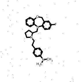 CN(C)c1ccc(CCN2CCCC2CN2c3ccc(F)cc3COc3ccccc32)cc1